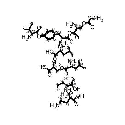 CC(C)C[C@H](N)C(=O)O.CC(C)C[C@H](N)C(=O)OC[C@H](N)C(=O)O.CC(C)[C@H](N)C(=O)Oc1ccc(C[C@H](N)C(=O)OC(=O)[C@@H](N)COC(=O)CN)cc1.CC[C@H](C)[C@H](N)C(=O)O.NC(=O)C[C@H](N)C(=O)O